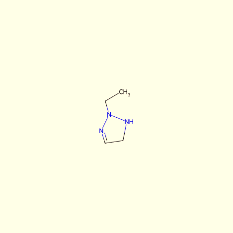 CCN1N=CCN1